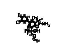 C[C@]1(C(N)=O)COc2c1cc([C@@](O)(COSI)C(F)(F)F)nc2-c1ccc(F)c(Cl)c1